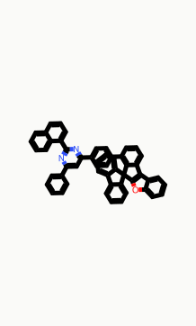 c1ccc(-c2cc(-c3ccc(-c4cccc5c4C4(c6ccccc6-c6ccccc64)c4oc6ccccc6c4-5)cc3)nc(-c3cccc4ccccc34)n2)cc1